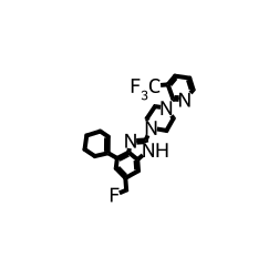 FCc1cc(C2=CCCCC2)c2nc(N3CCN(c4ncccc4C(F)(F)F)CC3)[nH]c2c1